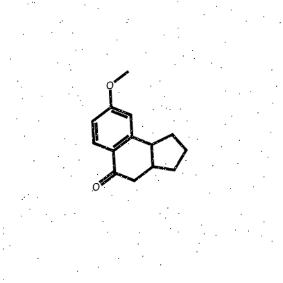 COc1ccc2c(c1)C1CCCC1CC2=O